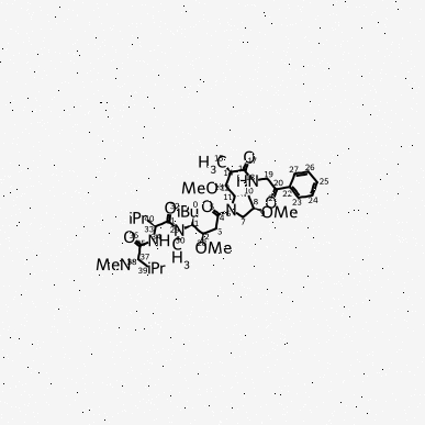 CC[C@H](C)[C@@H]([C@@H](CC(=O)N1C[C@H](OC)C[C@H]1[C@H](OC)[C@@H](C)C(=O)NCC(=O)c1ccccc1)OC)N(C)C(=O)[C@@H](NC(=O)[C@@H](NC)C(C)C)C(C)C